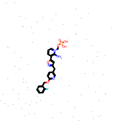 Nc1c(-c2cc(Cc3ccc(OCc4ccccc4F)nc3)no2)ccc[n+]1COP(=O)(O)O